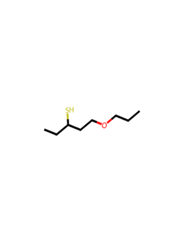 CCCOCCC(S)CC